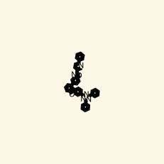 c1ccc(-c2ccc(-c3nc4cc(-c5cccc6oc7cc(-c8nc(-c9ccccc9)nc(-c9ccccc9)n8)ccc7c56)ccc4o3)cn2)cc1